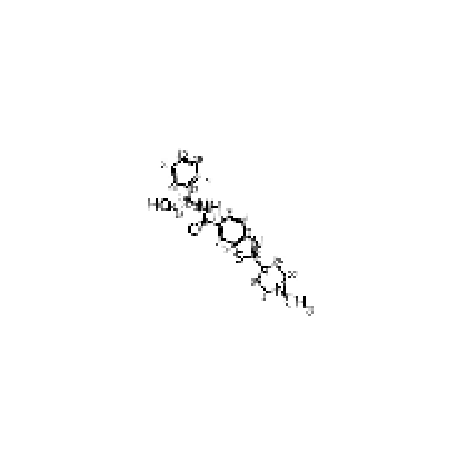 CN1CCC(c2nc3ccc(C(=O)N[C@H](CO)c4ccccc4)cc3s2)CC1